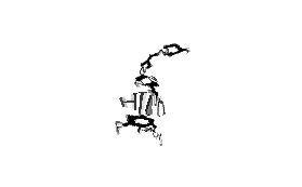 Cn1cc2cc(NC(=O)c3cnc(N4CC(CN5CCC(F)C5)C4)cn3)cc(F)c2n1